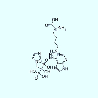 NCCCC[C@H](N)C(=O)O.Nc1ncnc2[nH]cnc12.O=P(O)(O)C(O)(Cn1ccnc1)P(=O)(O)O